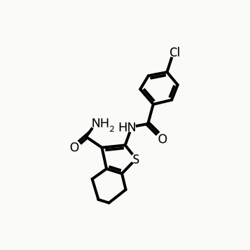 NC(=O)c1c(NC(=O)c2ccc(Cl)cc2)sc2c1CCCC2